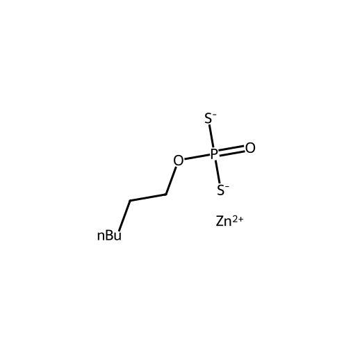 CCCCCCOP(=O)([S-])[S-].[Zn+2]